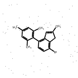 CC1=Cc2c(-c3c(C)cc(C)cc3C)ccc(Br)c2C1